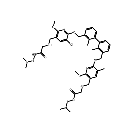 COc1nc(OCc2cccc(-c3cccc(COc4nc(OC)c(CNCC(=O)NSN(C)C)cc4Cl)c3C)c2C)c(Cl)cc1CNCC(=O)NSN(C)C